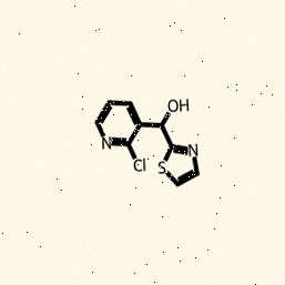 OC(c1nccs1)c1cccnc1Cl